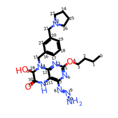 CCCCOc1nc(N=NN)c2c(n1)N(Cc1cccc(CN3CCCC3)c1)C(O)C(=O)N2